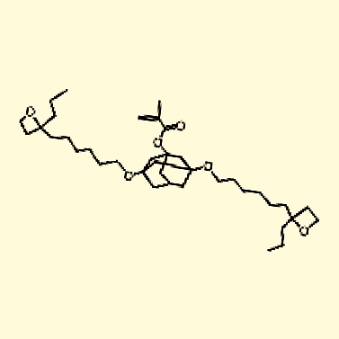 C=C(C)C(=O)OC12CC3CC(OCCCCCCC4(CCC)CCO4)(CC(OCCCCCCC4(CCC)CCO4)(C3)C1)C2